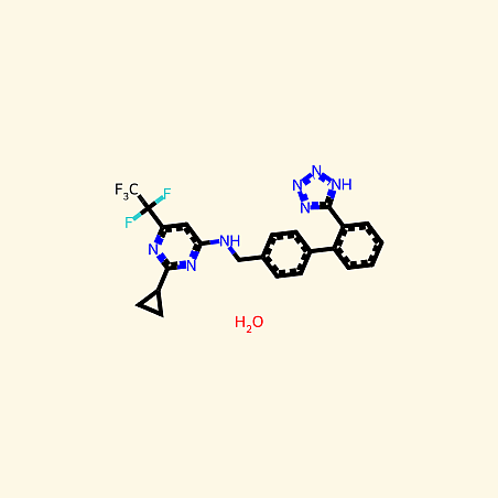 FC(F)(F)C(F)(F)c1cc(NCc2ccc(-c3ccccc3-c3nnn[nH]3)cc2)nc(C2CC2)n1.O